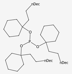 CCCCCCCCCCCCC1(OP(OC2(CCCCCCCCCCCC)CCCCC2)OC2(CCCCCCCCCCCC)CCCCC2)CCCCC1